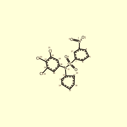 O=[N+]([O-])c1cccc(S(=O)(=O)N(c2ccccc2)c2cc(Cl)c(Cl)c(Cl)c2)c1